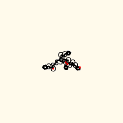 O=C(COc1ccccc1)SCCSCC(CSC(=O)COc1ccccc1)SC(CSCCSC(=O)COc1ccccc1)CSC(=O)COc1ccccc1